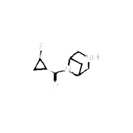 O=C([C@H]1C[C@H]1F)N1C2CNCC1C2